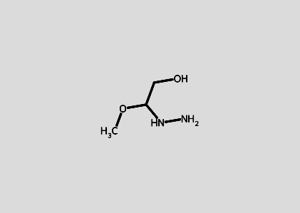 COC(CO)NN